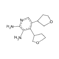 Nc1ncc(C2CCOC2)c(C2CCOC2)c1N